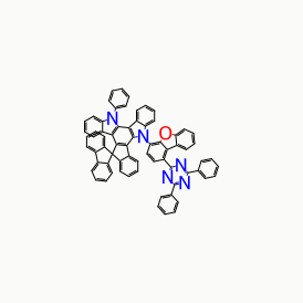 c1ccc(-c2nc(-c3ccccc3)nc(-c3ccc(-n4c5ccccc5c5c4c4c(c6c7ccccc7n(-c7ccccc7)c65)C5(c6ccccc6-c6ccccc65)c5ccccc5-4)c4oc5ccccc5c34)n2)cc1